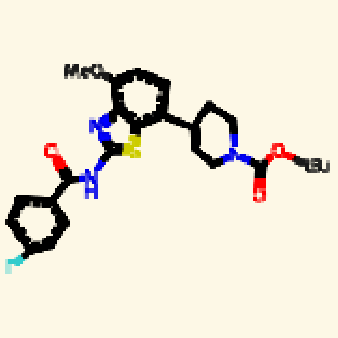 COc1ccc(C2=CCN(C(=O)OC(C)(C)C)CC2)c2sc(NC(=O)c3ccc(F)cc3)nc12